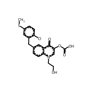 CSc1ccc(Cl)c(Cc2ccc3c(c2)c(=O)c(OC(=O)O)cn3CCO)c1